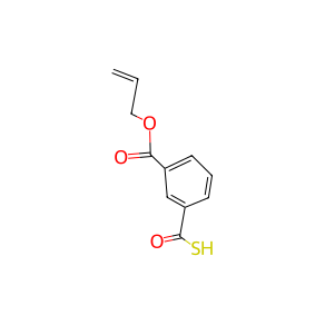 C=CCOC(=O)c1cccc(C(=O)S)c1